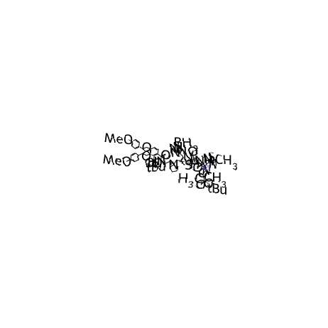 Bn1nnc(C2=C(C[N+]3(CCNC(=O)c4ccc(OCc5ccc(OC)cc5)c(OCc5ccc(OC)cc5)c4C(=O)OC(C)(C)C)CCCC3)CS[C@@H]3[C@H](NC(=O)/C(=N\OC(C)(C)C(=O)OC(C)(C)C)c4nsc(C)n4)C(=O)N23)n1